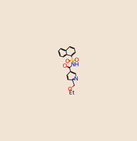 CCOCc1ccc(C(=O)NS(=O)(=O)c2cccc3ccccc23)cn1